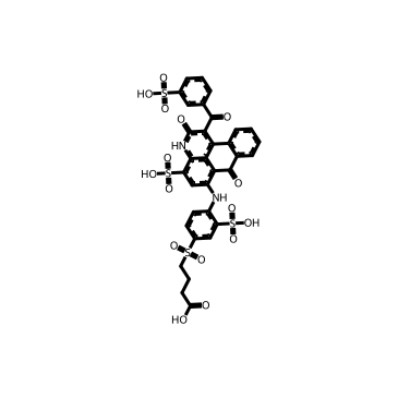 O=C(O)CCCS(=O)(=O)c1ccc(Nc2cc(S(=O)(=O)O)c3[nH]c(=O)c(C(=O)c4cccc(S(=O)(=O)O)c4)c4c3c2C(=O)c2ccccc2-4)c(S(=O)(=O)O)c1